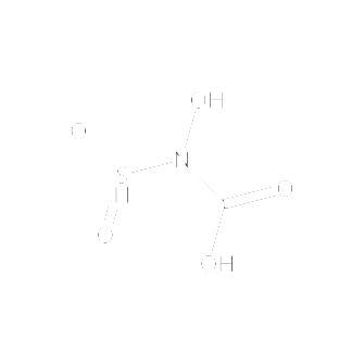 O=C(O)N(O)[SH](=O)=O